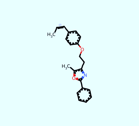 C/C=C\c1ccc(OCCc2nc(-c3ccccc3)oc2C)cc1